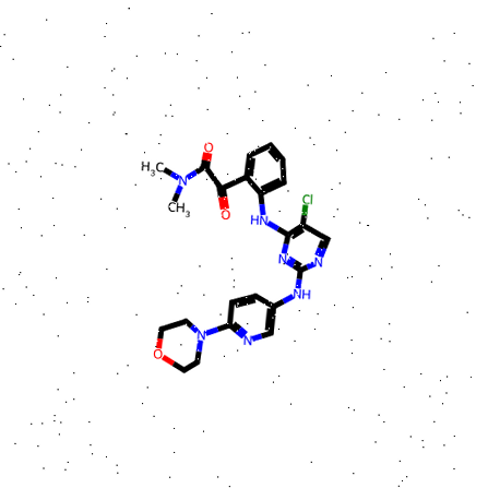 CN(C)C(=O)C(=O)c1ccccc1Nc1nc(Nc2ccc(N3CCOCC3)nc2)ncc1Cl